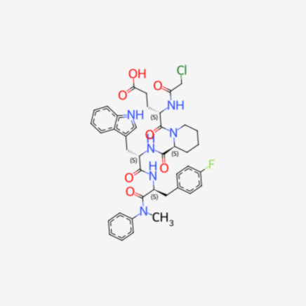 CN(C(=O)[C@H](Cc1ccc(F)cc1)NC(=O)[C@H](Cc1c[nH]c2ccccc12)NC(=O)[C@@H]1CCCCN1C(=O)[C@H](CCC(=O)O)NC(=O)CCl)c1ccccc1